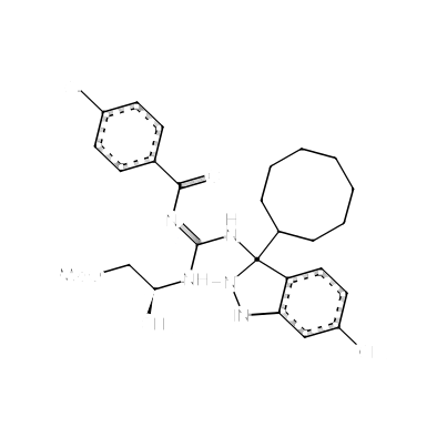 COC[C@H](C)N/C(=N/C(=O)c1ccc(Cl)cc1)NC1(C2CCCCCCC2)NNc2cc(C(F)(F)F)ccc21